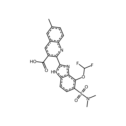 Cc1ccc2nc(-c3nc4c(OC(F)F)c(S(=O)(=O)N(C)C)ccc4[nH]3)c(C(=O)O)cc2c1